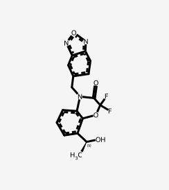 C[C@H](O)c1cccc2c1OC(F)(F)C(=O)N2Cc1ccc2nonc2c1